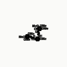 COc1cc(OC)c(/C=C/C(=O)Nc2ccc(OC)c(N/C=C/C(=O)c3cc(OC)c(OC)c(OC)c3Cl)c2)c(OC)c1